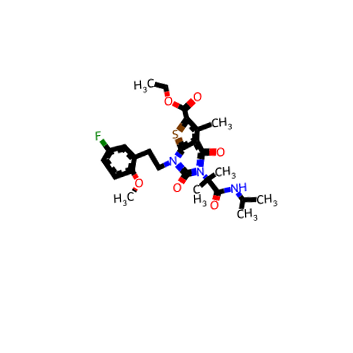 CCOC(=O)c1sc2c(c1C)c(=O)n(C(C)(C)C(=O)NC(C)C)c(=O)n2CCc1cc(F)ccc1OC